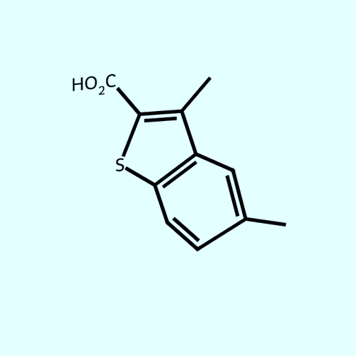 Cc1ccc2sc(C(=O)O)c(C)c2c1